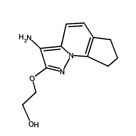 Nc1c(OCCO)nn2c3c(ccc12)CCC3